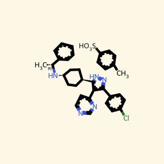 C[C@@H](N[C@H]1CC[C@H](c2[nH]nc(-c3ccc(Cl)cc3)c2-c2ccncn2)CC1)c1ccccc1.Cc1ccc(S(=O)(=O)O)cc1